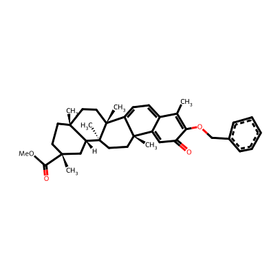 COC(=O)[C@]1(C)CC[C@]2(C)CC[C@]3(C)C4=CC=C5C(=CC(=O)C(OCc6ccccc6)=C5C)[C@]4(C)CC[C@@]3(C)[C@@H]2C1